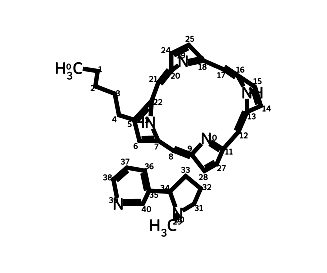 CCCCCc1cc2cc3nc(cc4ccc(cc5nc(cc1[nH]2)C=C5)[nH]4)C=C3.CN1CCCC1c1cccnc1